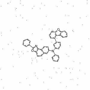 c1ccc(-c2nc3c(ccc4cc(N(c5ccccc5)c5cccc(-c6cccc7oc8ccccc8c67)c5)ccc43)o2)cc1